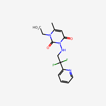 Cc1cc(=O)n(NCC(F)(F)c2ccccn2)c(=O)n1CC(=O)O